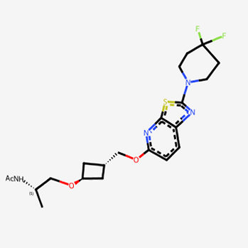 CC(=O)N[C@@H](C)CO[C@H]1C[C@H](COc2ccc3nc(N4CCC(F)(F)CC4)sc3n2)C1